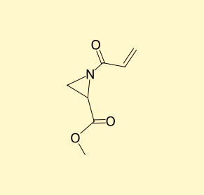 C=CC(=O)N1CC1C(=O)OC